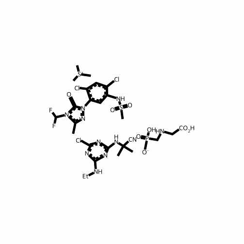 CCNc1nc(Cl)nc(NC(C)(C)C#N)n1.C[S+](C)C.Cc1nn(-c2cc(NS(C)(=O)=O)c(Cl)cc2Cl)c(=O)n1C(F)F.O=C(O)CNCP(=O)([O-])O